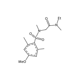 CCN(C)C(=O)CN(C)S(=O)(=O)c1c(C)cc(OC)cc1C